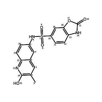 Cc1cc2cc(NS(=O)(=O)c3ccc4[nH]c(=O)oc4c3)ccc2nc1O